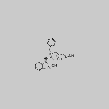 C=C(N[C@H]1c2ccccc2C[C@H]1O)[C@H](Cc1ccccc1)C[C@H](O)CN=N